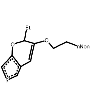 CCCCCCCCCCCOC1=Cc2cscc2OC1CC